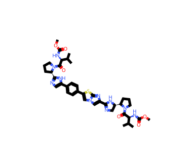 COC(=O)N[C@H](C(=O)N1CCCC1[C@@H]1CN=C(c2cn3cc(-c4ccc(-c5cnc([C@@H]6CCCN6C(=O)[C@@H](NC(=O)OC)C(C)C)[nH]5)cc4)sc3n2)N1)C(C)C